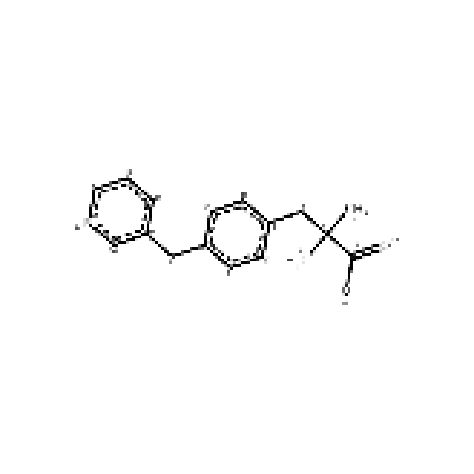 CC(C)(Cc1ccc(Cc2cccnc2)cc1)C(=O)O